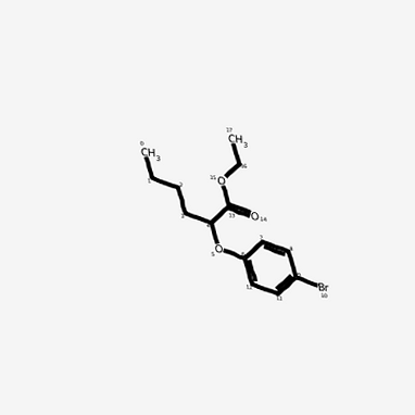 CCCCC(Oc1ccc(Br)cc1)C(=O)OCC